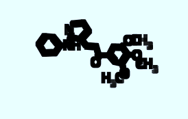 COc1cc(C(=O)/C=C/c2cccnc2Nc2ccccc2)cc(OC)c1OC